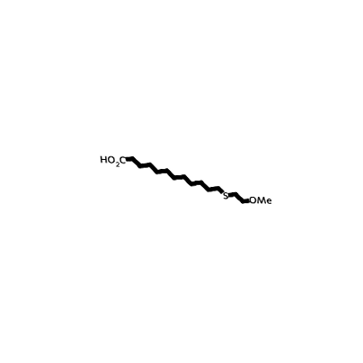 COCCSCCCCCCCCCCCC(=O)O